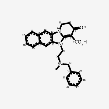 CN(CCN1C2=C(C(=O)O)C(=O)CCN2c2cc3ccccc3cc21)Cc1ccccc1